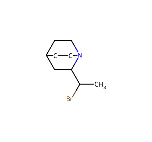 CC(Br)C1CC2CCN1CC2